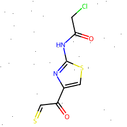 O=C(CCl)Nc1nc(C(=O)C=S)cs1